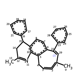 CC1=C=CCc2c(ccc3c2N=C(C)CC3c2ccccc2)/C(c2ccccc2)=C\1